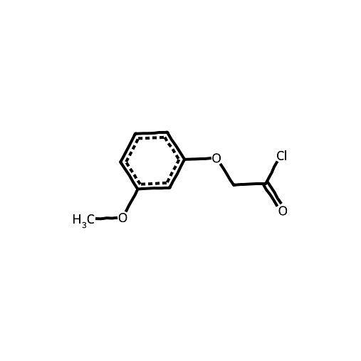 COc1cccc(OCC(=O)Cl)c1